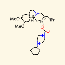 COc1cc2c(cc1OC)[C@H]1C[C@@H](COC(=O)N3CCN(C4CCCCC4)CC3)[C@H](CC(C)C)CN1CC2